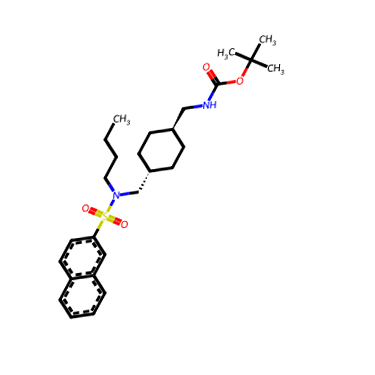 CCCCN(C[C@H]1CC[C@H](CNC(=O)OC(C)(C)C)CC1)S(=O)(=O)c1ccc2ccccc2c1